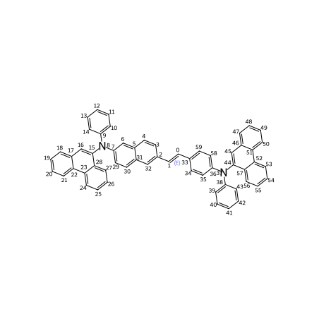 C(=C\c1ccc2cc(N(c3ccccc3)c3cc4ccccc4c4ccccc34)ccc2c1)/c1ccc(N(c2ccccc2)c2cc3ccccc3c3ccccc23)cc1